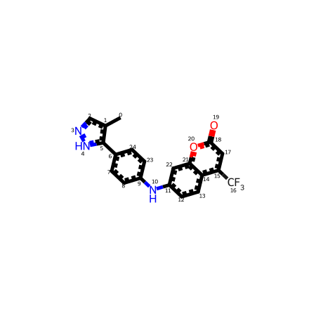 Cc1cn[nH]c1-c1ccc(Nc2ccc3c(C(F)(F)F)cc(=O)oc3c2)cc1